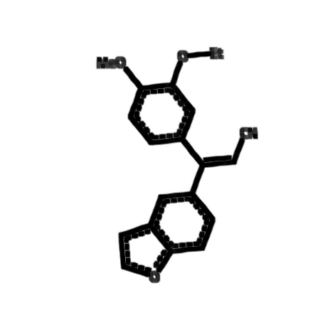 CCOc1cc(C(=CC#N)c2ccc3occc3c2)ccc1OC